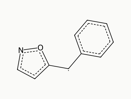 [CH](c1ccccc1)c1ccno1